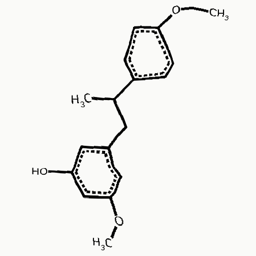 COc1ccc(C(C)Cc2cc(O)cc(OC)c2)cc1